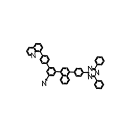 N#Cc1cc(-c2ccc(-c3cccc4cccnc34)cc2)cc(-c2ccc(-c3ccc(-c4nc(-c5ccccc5)nc(-c5ccccc5)n4)cc3)c3ccccc23)c1